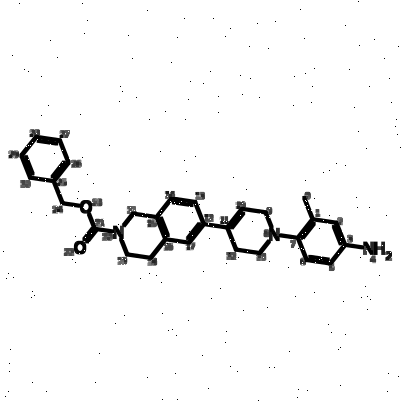 Cc1cc(N)ccc1N1CC=C(c2ccc3c(c2)CCN(C(=O)OCc2ccccc2)C3)CC1